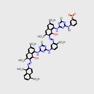 CCN(c1cccc([SH](=O)=O)c1)c1nc(Cl)nc(Nc2cc(S(=O)(=O)O)cc3cc(S(=O)(=O)O)c(/N=N/c4cc(Nc5nc(Cl)nc(Nc6cc(S(=O)(=O)O)cc7cc(S(=O)(=O)O)c(/N=N/c8ccc9c(S(=O)(=O)O)cccc9c8S(=O)(=O)O)c(O)c67)n5)ccc4S(=O)(=O)O)c(O)c23)n1